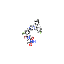 O=C1CCC(N2Cc3cc(CN4CCN(C(c5ccc(F)cc5)c5ccc(F)cc5)CC4)cc(F)c3C2=O)C(=O)N1